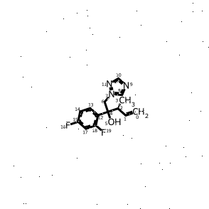 C=C[C@H](C)C(O)(Cn1cncn1)c1ccc(F)cc1F